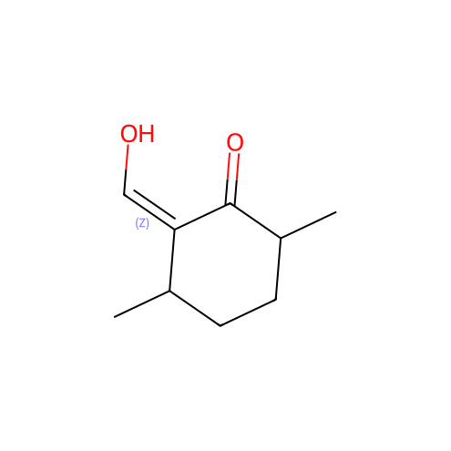 CC1CCC(C)/C(=C/O)C1=O